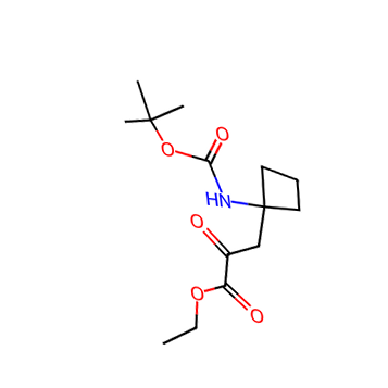 CCOC(=O)C(=O)CC1(NC(=O)OC(C)(C)C)CCC1